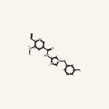 C=Cc1ncc(C(=O)Nc2cn(Cc3cccc(C)c3)cn2)cc1OC